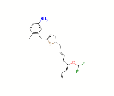 C=C/C=C(\C/C=C/Cc1ccc(Cc2cc(N)ccc2C)s1)OC(F)F